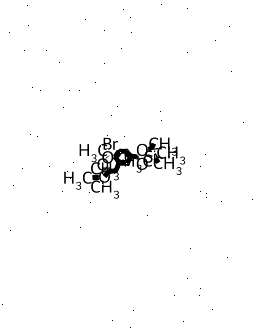 COc1c(Br)cc(C(=O)OC(C)[Si](C)(C)C)cc1CC(=O)OC(C)(C)C